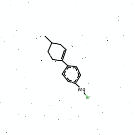 CC1CC=C(c2cc[c]([Mg][Br])cc2)CC1